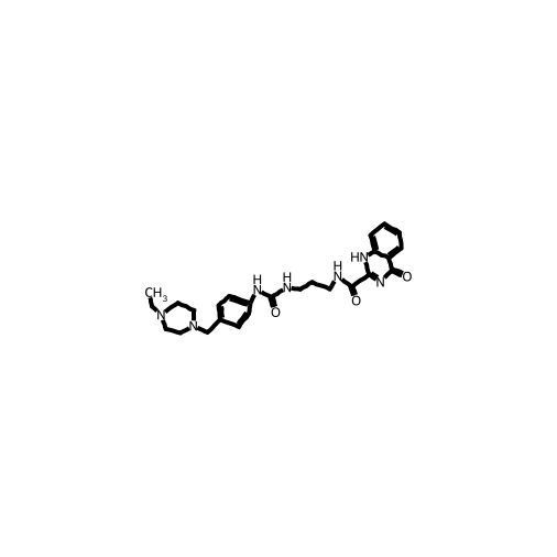 CCN1CCN(Cc2ccc(NC(=O)NCCCNC(=O)c3nc(=O)c4ccccc4[nH]3)cc2)CC1